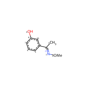 CO/N=C(\C)c1cccc(O)c1